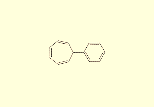 C1=CC=CC(c2ccccc2)C=C1